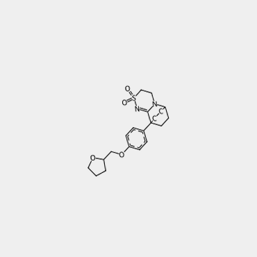 O=S1(=O)CCN2C(=N1)C1(c3ccc(OCC4CCCO4)cc3)CCC2CC1